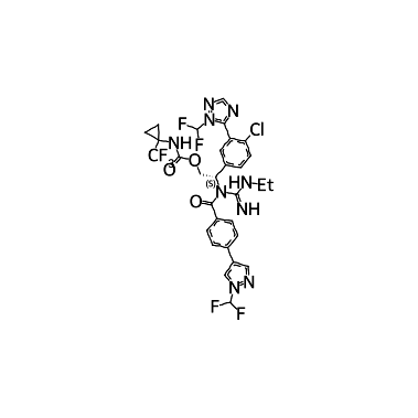 CCNC(=N)N(C(=O)c1ccc(-c2cnn(C(F)F)c2)cc1)[C@H](COC(=O)NC1(C(F)(F)F)CC1)c1ccc(Cl)c(-c2ncnn2C(F)F)c1